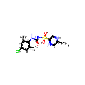 Cc1cnc(S(=O)(=O)NC(=O)Nc2c(C(C)C)cc(Cl)cc2C(C)C)cn1